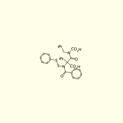 CC(C)CN(C(=O)O)C(=O)C(C(=O)O)(C(C)C)N(SSc1ccccc1)C(=O)c1ccccc1